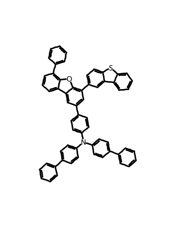 c1ccc(-c2ccc(N(c3ccc(-c4ccccc4)cc3)c3ccc(-c4cc(-c5ccc6sc7ccccc7c6c5)c5oc6c(-c7ccccc7)cccc6c5c4)cc3)cc2)cc1